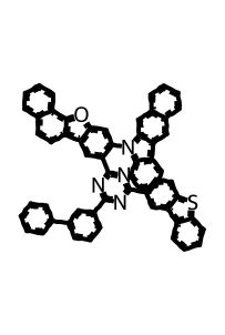 c1ccc(-c2cccc(-c3nc(-c4ccc5sc6ccccc6c5c4)nc(-c4cc5c(cc4-n4c6ccccc6c6cc7ccccc7cc64)oc4c6ccccc6ccc54)n3)c2)cc1